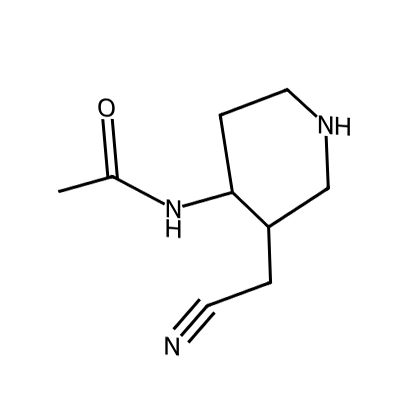 CC(=O)NC1CCNCC1CC#N